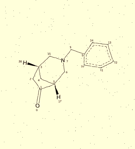 O=C1C[C@H]2C[C@@H]1CN(Cc1ccccc1)C2